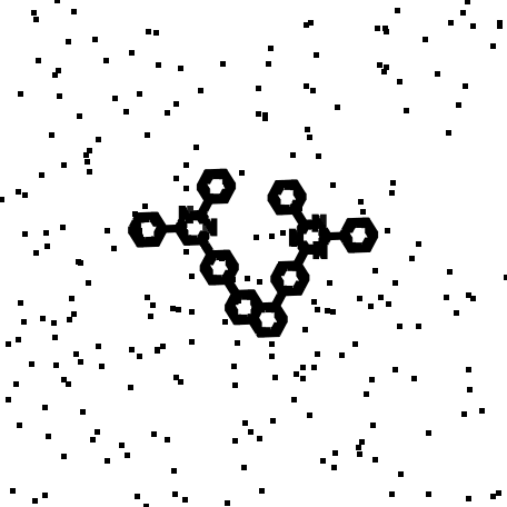 c1ccc(-c2cc(-c3ccc(-c4ccc5cccc(-c6ccc(-c7nc(-c8ccccc8)nc(-c8ccccc8)n7)cc6)c5c4)cc3)nc(-c3ccccc3)n2)cc1